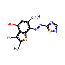 CCc1c(C)sc2c(N=Nc3ncns3)c(C(=O)O)cc(O)c12